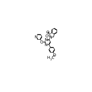 COc1ccc(-c2cc(N3Cc4ccccc4S3(=O)=O)nc(Oc3cccnc3)n2)cc1